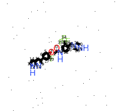 O=C(COc1ccc(-c2cnc3[nH]ccc3c2)cc1F)Nc1ccc(CN2CCNCC2)c(C(F)(F)F)c1